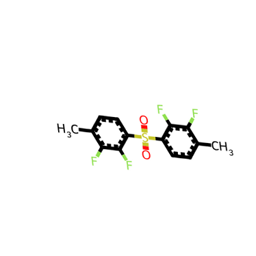 Cc1ccc(S(=O)(=O)c2ccc(C)c(F)c2F)c(F)c1F